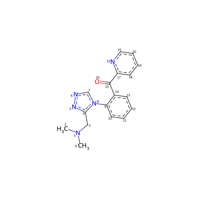 CN(C)Cc1nncn1-c1ccccc1C(=O)c1ccccn1